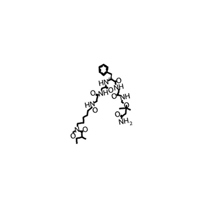 CCC(C)C(=O)N(C=O)CCCCCC(=O)NCC(=O)NCC(=O)N[C@@H](Cc1ccccc1)C(=O)NCC(=O)NCOC(C)(C)CC(N)=O